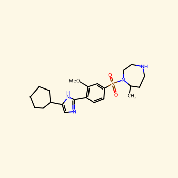 COc1cc(S(=O)(=O)N2CCNCCC2C)ccc1-c1ncc(C2CCCCC2)[nH]1